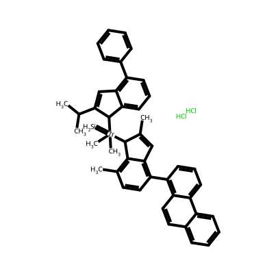 CC1=Cc2c(-c3cccc4c3ccc3ccccc34)ccc(C)c2[CH]1[Zr]([CH3])([CH3])(=[SiH2])[CH]1C(C(C)C)=Cc2c(-c3ccccc3)cccc21.Cl.Cl